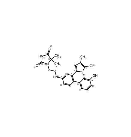 Cc1cc(-c2nc(NCCN3C(=O)NC(=O)C3(C)C)ncc2-c2cccc(O)c2)sc1Cl